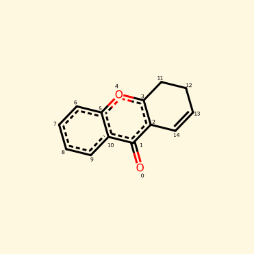 O=c1c2c(oc3ccccc13)CCC=C2